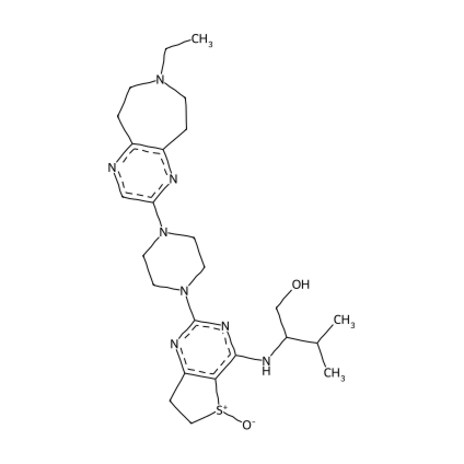 CCN1CCc2ncc(N3CCN(c4nc5c(c(NC(CO)C(C)C)n4)[S+]([O-])CC5)CC3)nc2CC1